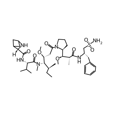 CC[C@H](C)[C@@H]([C@@H](CC(=O)N1CCC[C@H]1[C@H](OC)[C@@H](C)C(=O)N[C@@H](Cc1ccccc1)CS(N)(=O)=O)OC)N(C)C(=O)[C@@H](NC(=O)[C@H]1NC2CC1C2)C(C)C